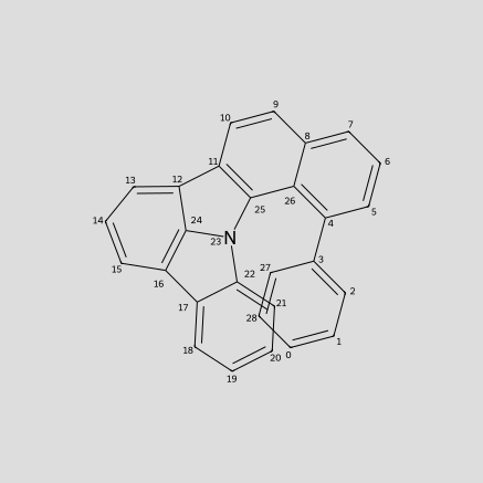 c1ccc(-c2cccc3ccc4c5cccc6c7ccccc7n(c65)c4c23)cc1